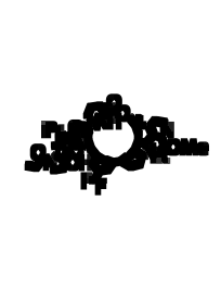 C=CC(=O)N1CCC(O)(C(=O)N(C)[C@H](C(=O)N[C@H]2Cc3cc(cc(C(F)F)c3)-c3ccc4c(c3)c(c(-c3cccnc3[C@H](C)OC)n4CC)CC(C)(C)COC(=O)[C@@H]3CCCN(N3)C2=O)C(C)C)C1